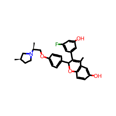 CC1=C(c2cc(O)cc(F)c2)C(c2ccc(OC[C@H](C)N3CC[C@@H](C)C3)cc2)Oc2ccc(O)cc21